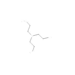 CCCCCCCCN(CCC#N)CCC#N